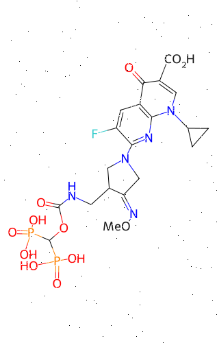 CO/N=C1/CN(c2nc3c(cc2F)c(=O)c(C(=O)O)cn3C2CC2)CC1CNC(=O)OC(P(=O)(O)O)P(=O)(O)O